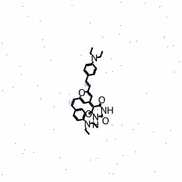 CCN(CC)c1ccc(/C=C\C2=CC(=C3C(=O)NC(=O)NC3=O)C=C(/C=C/c3ccc(N(CC)CC)cc3)O2)cc1